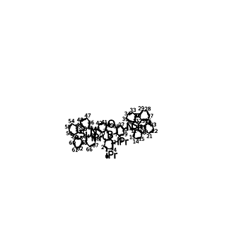 CC(C)c1cc(C(C)C)c(B2c3ccc(N4c5ccccc5[Si](c5ccccc5)(c5ccccc5)c5ccccc54)cc3Oc3ccc(N4c5ccccc5[Si](c5ccccc5)(c5ccccc5)c5ccccc54)cc32)c(C(C)C)c1